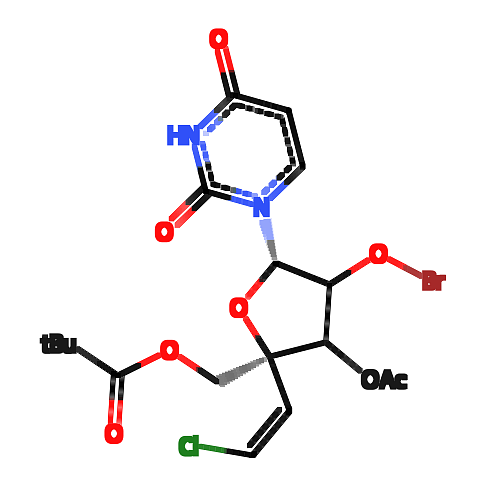 CC(=O)OC1C(OBr)[C@@H](n2ccc(=O)[nH]c2=O)O[C@@]1(/C=C\Cl)COC(=O)C(C)(C)C